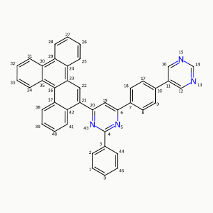 c1ccc(-c2nc(-c3ccc(-c4cncnc4)cc3)cc(-c3cc4c5ccccc5c5ccccc5c4c4ccccc34)n2)cc1